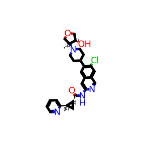 C[C@]1(N2CCC(c3cc4cc(NC(=O)[C@@H]5C[C@H]5c5ccccn5)ncc4cc3Cl)CC2)COC[C@H]1O